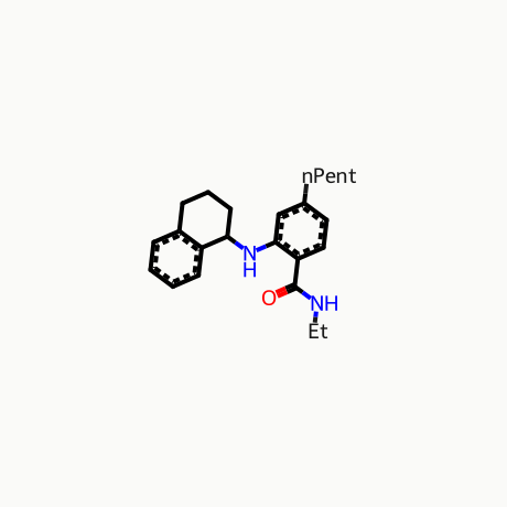 CCCCCc1ccc(C(=O)NCC)c(NC2CCCc3ccccc32)c1